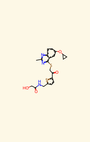 Cc1nc(SCC(=O)c2ccc(CNC(=O)CO)s2)c2cc(OC3CC3)ccc2n1